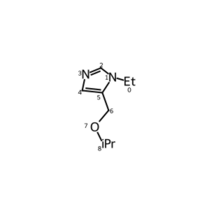 CCn1cncc1COC(C)C